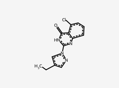 CCc1cnn(-c2nc3cccc(Cl)c3c(=O)[nH]2)c1